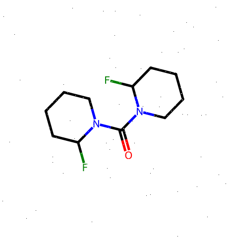 O=C(N1CCCCC1F)N1CCCCC1F